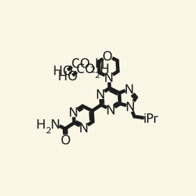 CC(C)Cn1cnc2c(N3CCOCC3)nc(-c3cnc(C(N)=O)nc3)nc21.O=C(O)O.O=C(O)O